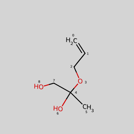 C=CCOC(C)(O)CO